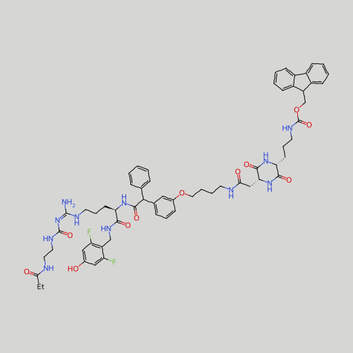 CCC(=O)NCCNC(=O)/N=C(/N)NCCC[C@@H](NC(=O)C(c1ccccc1)c1cccc(OCCCCNC(=O)C[C@H]2NC(=O)[C@@H](CCCNC(=O)OCC3c4ccccc4-c4ccccc43)NC2=O)c1)C(=O)NCc1c(F)cc(O)cc1F